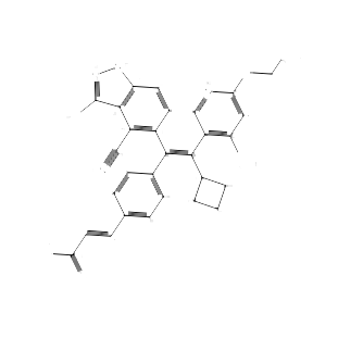 CCOc1cc(C)c(C(=C(c2ccc(C=CC(=O)O)cc2)c2ccc3[nH]nc(F)c3c2C#N)C2CCC2)cn1